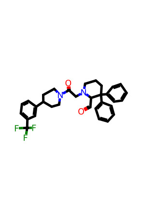 O=CC1N(CC(=O)N2CCC(c3cccc(C(F)(F)F)c3)CC2)CCCC1(c1ccccc1)c1ccccc1